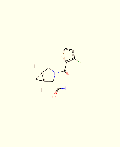 NC(=O)[C@@H]1[C@H]2C[C@H]2CN1C(=O)c1sccc1Br